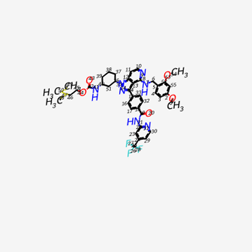 COc1ccc(CNc2nccc3c2c(-c2ccc(C(=O)Nc4cc(C(F)(F)F)ccn4)cc2)nn3[C@@H]2CCC[C@@H](NC(=O)OCCS(C)(C)C)C2)c(OC)c1